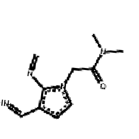 C=Nc1c(C=N)ccn1CC(=O)N(C)C